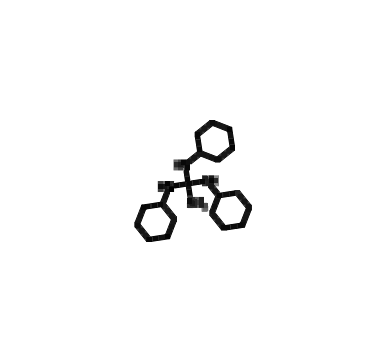 [SiH3]C(NC1CCCCC1)(NC1CCCCC1)NC1CCCCC1